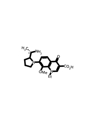 CCn1cc(C(=O)O)c(=O)c2ccc(N3CCCC3[C@H](C)N)c(OC)c21